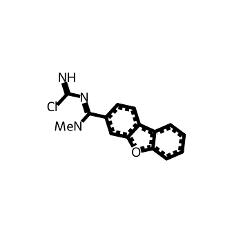 CN/C(=N\C(=N)Cl)c1ccc2c(c1)oc1ccccc12